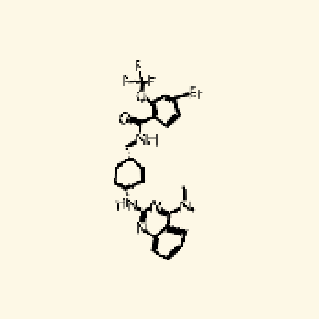 CN(C)c1nc(N[C@H]2CC[C@@H](CNC(=O)c3ccc(Br)cc3OC(F)(F)F)CC2)nc2ccccc12